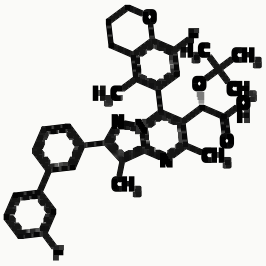 Cc1nc2c(C)c(-c3cccc(-c4cccc(F)c4)c3)nn2c(-c2cc(F)c3c(c2C)CCCO3)c1[C@H](OC(C)(C)C)C(=O)O